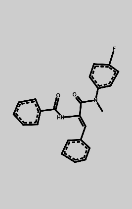 CN(C(=O)/C(=C/c1ccccc1)NC(=O)c1ccccc1)c1ccc(F)cc1